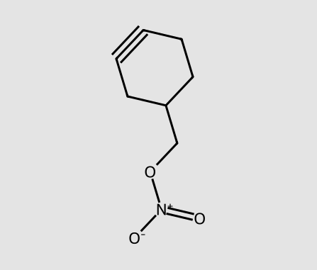 O=[N+]([O-])OCC1CC#CCC1